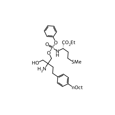 CCCCCCCCc1ccc(CCC(N)(CO)COP(=O)(N[C@@H](CCSC)C(=O)OCC)Oc2ccccc2)cc1